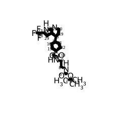 CC(C)(C)OC(=O)NCCNS(=O)(=O)c1ccc(-c2ccnc3[nH]c(C(F)(F)F)cc23)cc1